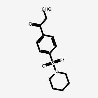 O=CCC(=O)c1ccc(S(=O)(=O)N2CCCCC2)cc1